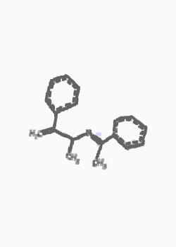 C=C(c1ccccc1)C(C)/N=C(\C)c1ccccc1